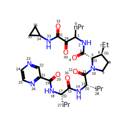 CCCC(NC(=O)[C@@H]1[C@@H](CC)CCN1C(=O)[C@@H](NC(=O)[C@@H](NC(=O)c1cnccn1)C(C)C)C(C)C)C(=O)C(=O)NC1CC1